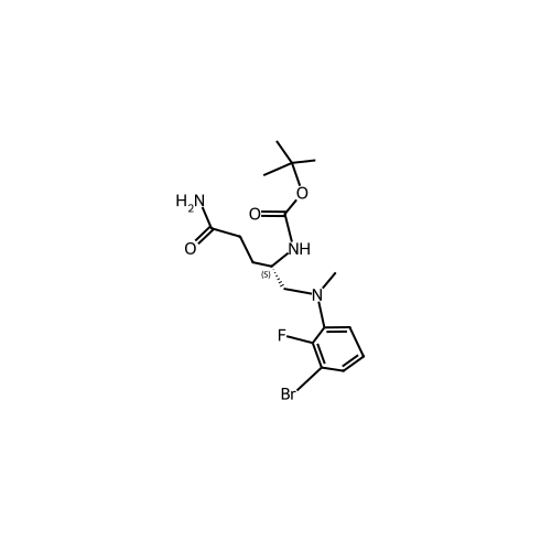 CN(C[C@H](CCC(N)=O)NC(=O)OC(C)(C)C)c1cccc(Br)c1F